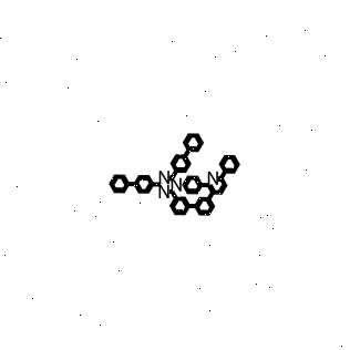 c1ccc(-c2ccc(-c3nc(-c4ccc(-c5ccccc5)cc4)nc(-c4cccc(-c5cccc(-c6ccc(-c7ccccc7)nc6-c6ccccc6)c5)c4)n3)cc2)cc1